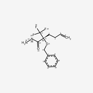 C=CCC[C@@](OCc1ccccc1)(C(=O)NN)C(F)(F)F